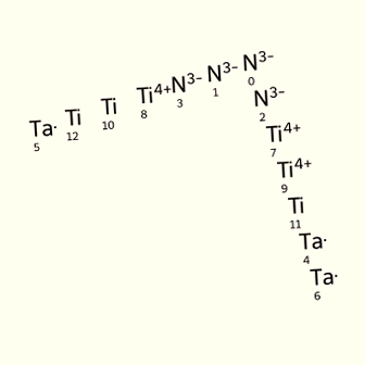 [N-3].[N-3].[N-3].[N-3].[Ta].[Ta].[Ta].[Ti+4].[Ti+4].[Ti+4].[Ti].[Ti].[Ti]